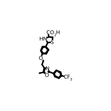 Cc1oc(-c2ccc(C(F)(F)F)cc2)nc1CCOc1ccc(C2NC(C(=O)O)CS2)cc1